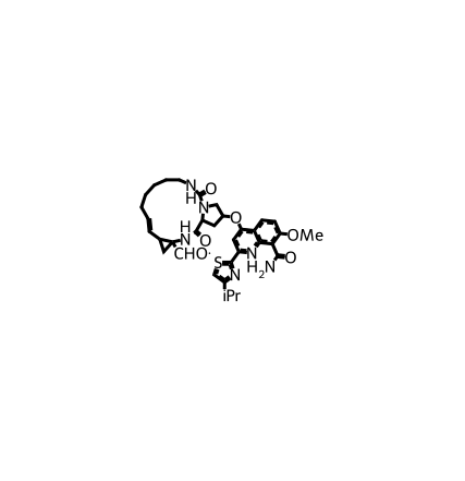 COc1ccc2c(OC3CC4C(=O)NC5([C]=O)CC5/C=C/CCCCCNC(=O)N4C3)cc(-c3nc(C(C)C)cs3)nc2c1C(N)=O